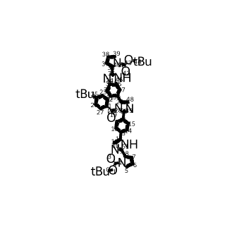 CC(C)(C)OC(=O)n1cccc1-c1ncc(-c2ccc3c(c2)O[C@@H](c2ccc(C(C)(C)C)cc2)n2c(-c4ccc5nc(-c6cccn6C(=O)OC(C)(C)C)[nH]c5c4)cnc2-3)[nH]1